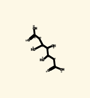 O=C(O)CC(O)C(O)C(O)CC(=O)O